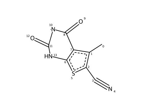 Cc1c(C#N)sc2c1C(=O)[N]C(=O)N2